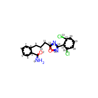 NC(=O)c1ccccc1CC[CH]c1nc(-c2c(Cl)cccc2Cl)no1